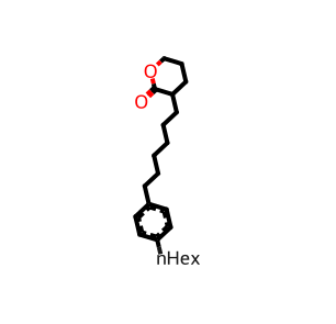 CCCCCCc1ccc(CCCCCCC2CCCOC2=O)cc1